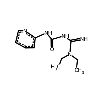 CCN(CC)C(=N)NC(=O)Nc1ccccn1